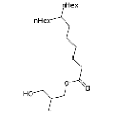 [CH2]C(CO)COC(=O)CCCCCC(CCCCCC)CCCCCC